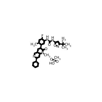 CS(=O)(=O)O.Cc1cc(F)c(NC(=O)Nc2cc(C(C)(C)C)no2)cc1-c1cc2cnc(-c3ccccc3)cc2n(C)c1=O